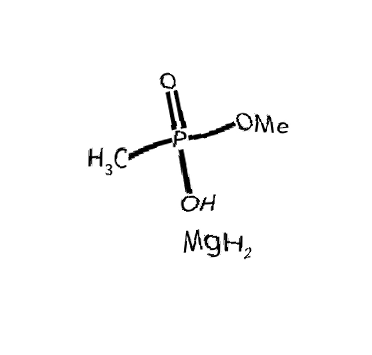 COP(C)(=O)O.[MgH2]